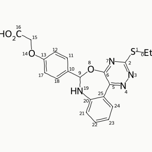 CCSc1nnc2c(n1)OC(c1ccc(OCC(=O)O)cc1)Nc1ccccc1-2